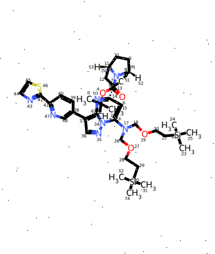 CC(C)(C)OC(=O)N1[C@@H]2CC[C@H]1C[C@@H](c1cc(N(COCC[Si](C)(C)C)COCC[Si](C)(C)C)n3ncc(-c4ccc(-c5nccs5)nc4)c3n1)C2